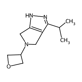 CC(C)c1n[nH]c2c1CN(C1COC1)C2